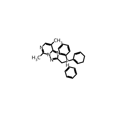 Cc1cnc(C)n2nc(C[PH](C3=CCCC=C3)(c3ccccc3)c3ccccc3)nc12